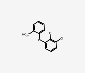 O=C(O)c1ccccc1Nc1cccc(Cl)c1Cl